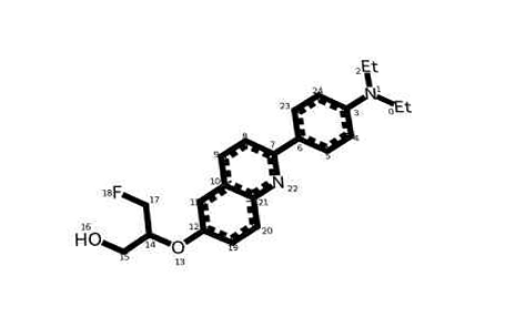 CCN(CC)c1ccc(-c2ccc3cc(OC(CO)CF)ccc3n2)cc1